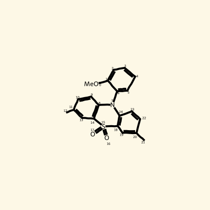 COc1ccccc1N1c2ccc(C)cc2S(=O)(=O)c2cc(C)ccc21